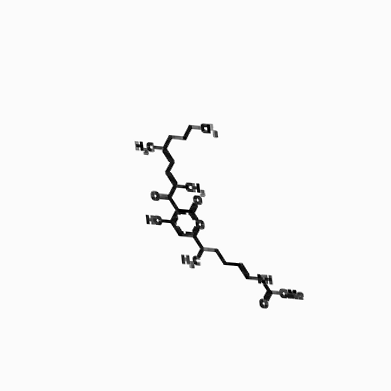 COC(=O)N/C=C/CCC(C)c1cc(O)c(C(=O)/C(C)=C/C=C(\C)CCCC(F)(F)F)c(=O)o1